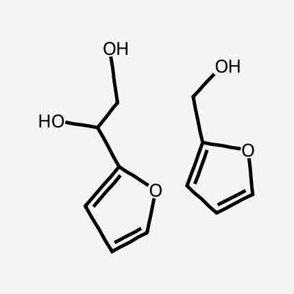 OCC(O)c1ccco1.OCc1ccco1